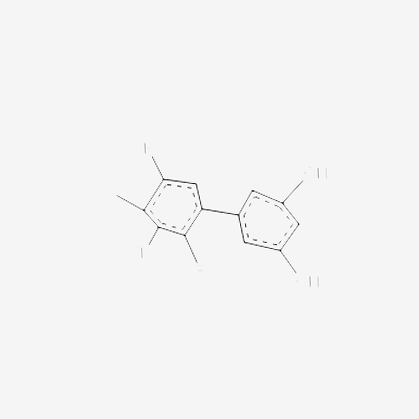 Oc1cc(O)cc(-c2cc(F)c(F)c(F)c2F)c1